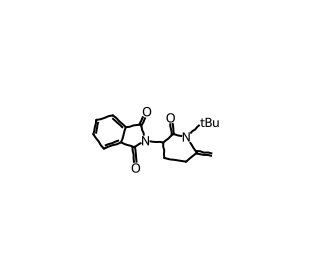 C=C1CCC(N2C(=O)c3ccccc3C2=O)C(=O)N1C(C)(C)C